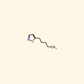 CCCCCc1ccns1